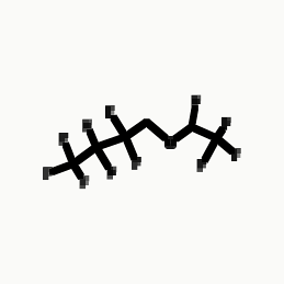 FC(OCC(F)(F)C(F)(F)C(F)(F)F)C(F)(F)F